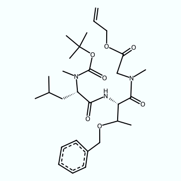 C=CCOC(=O)CN(C)C(=O)[C@@H](NC(=O)[C@H](CC(C)C)N(C)C(=O)OC(C)(C)C)C(C)OCc1ccccc1